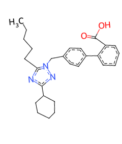 CCCCCc1nc(C2CCCCC2)nn1Cc1ccc(-c2ccccc2C(=O)O)cc1